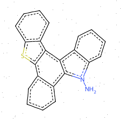 Nn1c2ccccc2c2c3c4ccccc4sc3c3ccccc3c21